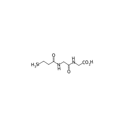 O=C(O)CNC(=O)CNC(=O)CC[SiH3]